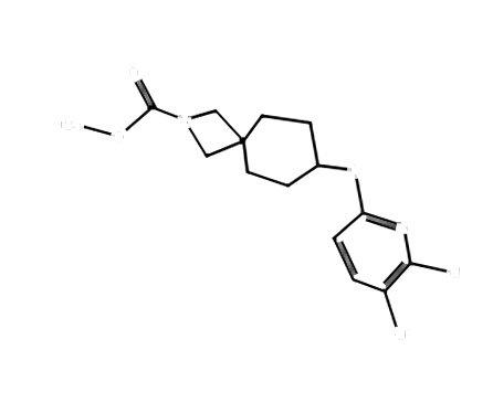 CC(C)(C)OC(=O)N1CC2(CCC(Oc3ccc(C(F)(F)F)c(Cl)n3)CC2)C1